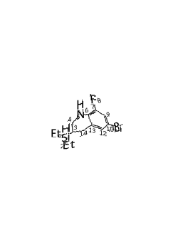 CC[SiH](CC)C1CNc2c(F)cc(Br)cc2C1